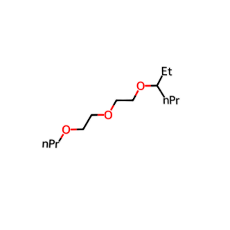 CCCOCCOCCOC(CC)CCC